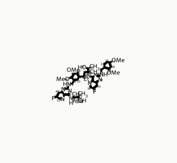 CCCC[C@@](C)(Nc1nc(NCc2cc(C(CC)C[C@@](C)(Nc3nc(NCc4ccc(OC)cc4OC)nc4cc(F)cnc34)[C@H](C)O)c(OC)cc2OC)nc2cc(F)cnc12)[C@@H](C)O